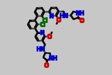 COc1nc(-c2cccc(-c3cccc(-c4ccc(CN[C@@H]5CNC(=O)C5)c(OC)n4)c3Cl)c2Cl)ccc1CN[C@@H]1CNC(=O)C1